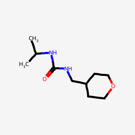 CC(C)NC(=O)NCC1CCOCC1